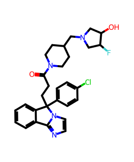 O=C(CCC1(c2ccc(Cl)cc2)c2ccccc2-c2nccn21)N1CCC(CN2CC(O)C(F)C2)CC1